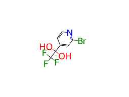 OC(O)(c1ccnc(Br)c1)C(F)(F)F